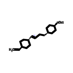 C=C[C@H]1CC[C@H](/C=C/CC[C@H]2CC[C@H](CCCCCCCC)CC2)CC1